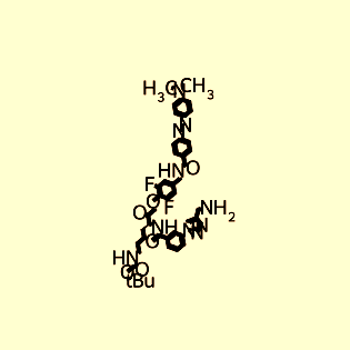 CN(C)c1ccc(/N=N/c2ccc(C(=O)NCc3cc(F)c(OCC(=O)[C@H](CCCCNC(=O)OC(C)(C)C)NC(=O)c4cccc(-n5cc(CN)nn5)c4)c(F)c3)cc2)cc1